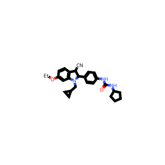 CCOc1ccc2c(c1)N(CC1CC1)C(c1ccc(NC(=O)NC3CCCC3)cc1)C2C#N